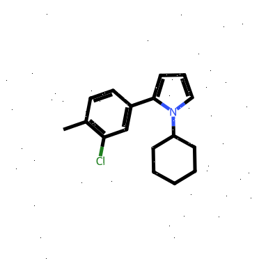 Cc1ccc(-c2cccn2C2CCCCC2)cc1Cl